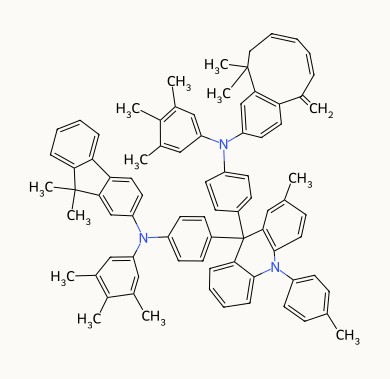 C=C1/C=C\C=C/CC(C)(C)c2cc(N(c3ccc(C4(c5ccc(N(c6cc(C)c(C)c(C)c6)c6ccc7c(c6)C(C)(C)c6ccccc6-7)cc5)c5ccccc5N(c5ccc(C)cc5)c5ccc(C)cc54)cc3)c3cc(C)c(C)c(C)c3)ccc21